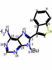 CCC(C)n1c(-c2csc3ccccc23)nc2c(N)ncnc21